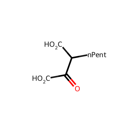 CCCCCC(C(=O)O)C(=O)C(=O)O